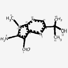 Cn1c(N)c(C=O)c2nc(C(C)(C)O)cnc21